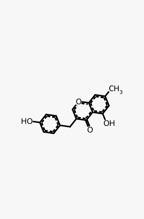 Cc1cc(O)c2c(=O)c(Cc3ccc(O)cc3)coc2c1